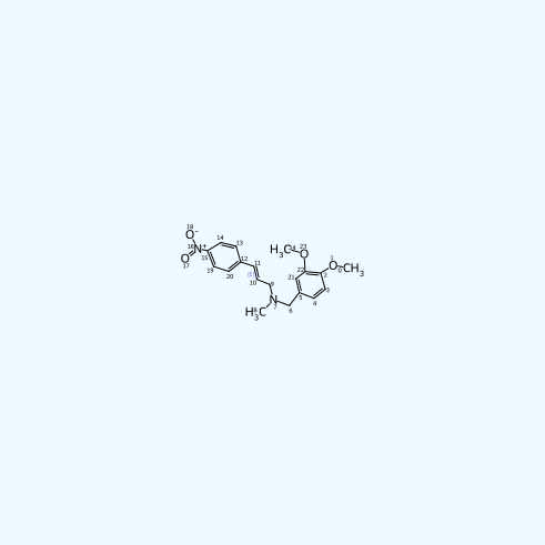 COc1ccc(CN(C)C/C=C/c2ccc([N+](=O)[O-])cc2)cc1OC